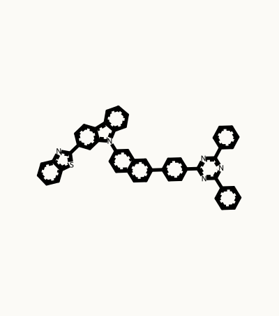 c1ccc(-c2nc(-c3ccccc3)nc(-c3ccc(-c4ccc5ccc(-n6c7ccccc7c7ccc(-c8nc9ccccc9s8)cc76)cc5c4)cc3)n2)cc1